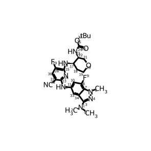 CN(C)c1nn(C)c2c(F)cc(Nc3nc(N[C@@H]4CCOC[C@@H]4NC(=O)OC(C)(C)C)c(F)cc3C#N)cc12